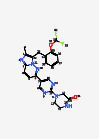 Cc1nc2ccc(-c3cnc(N4CCNC(=O)C4)nc3)nn2c1Cc1ccccc1OC(F)F